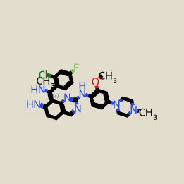 CN/C(=C1\C(=N)CCc2cnc(Nc3ccc(N4CCN(C)CC4)cc3OC)nc21)c1ccc(F)cc1Cl